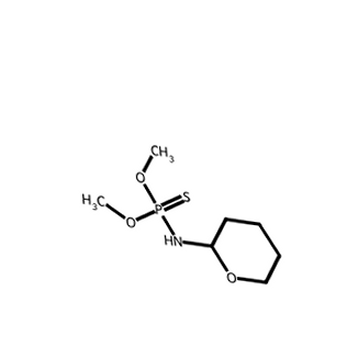 COP(=S)(NC1CCCCO1)OC